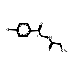 CC(=O)OCC(=O)NNC(=O)c1ccc(Cl)cc1